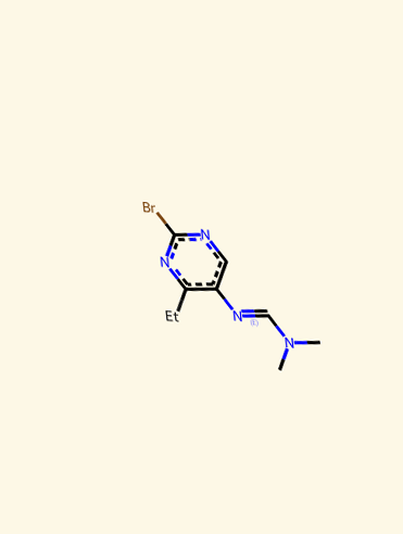 CCc1nc(Br)ncc1/N=C/N(C)C